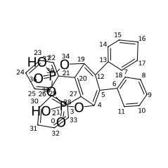 O=P1(O)Oc2c(-c3ccccc3)c(-c3ccccc3)c(c(-c3ccccc3)c2-c2ccccc2)OP(=O)(O)O1